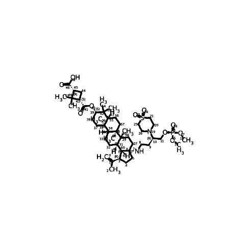 C=C(C)[C@@H]1CC[C@]2(NCC[C@H](COP(=O)(OC)OC)N3CCS(=O)(=O)CC3)CC[C@]3(C)[C@H](CC[C@@H]4[C@@]5(C)CC[C@H](OC(=O)[C@H]6C[C@@H](C(=O)O)C6(C)C)C(C)(C)[C@@H]5CC[C@]43C)[C@@H]12